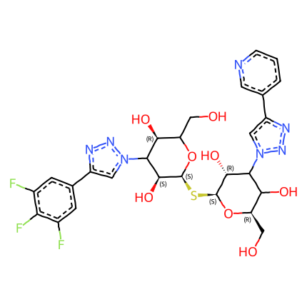 OCC1O[C@@H](S[C@@H]2O[C@H](CO)C(O)C(n3cc(-c4cccnc4)nn3)[C@H]2O)[C@@H](O)C(n2cc(-c3cc(F)c(F)c(F)c3)nn2)[C@H]1O